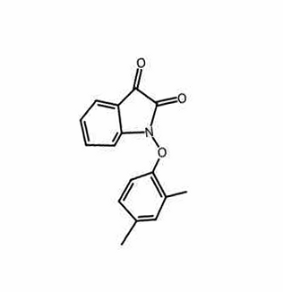 Cc1ccc(ON2C(=O)C(=O)c3ccccc32)c(C)c1